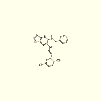 Oc1ccc(Cl)cc1C=NNc1nc2nonc2nc1NCc1ccccc1